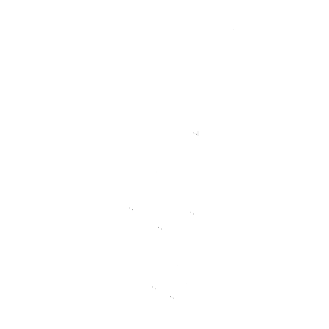 O=C(O)C=Cc1ccc(NCc2cc3nc(-c4cccc5[nH]ncc45)nc(N4CCOCC4)c3s2)cc1